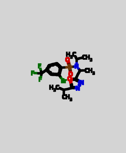 CC(C)c1nnc(C(C)N(C(C)C)S(=O)(=O)c2ccc(C(F)(F)F)cc2Br)o1